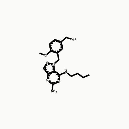 CCCCNc1nc(N)nc2cnn(Cc3cc(CN)ccc3OC)c12